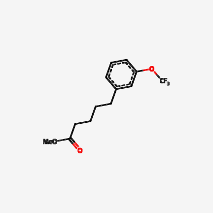 COC(=O)CCCCc1cccc(OC(F)(F)F)c1